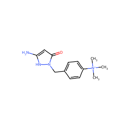 C[N+](C)(C)c1ccc(Cn2[nH]c(N)cc2=O)cc1